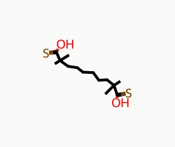 CC(C)(CCCCCCC(C)(C)C(O)=S)C(O)=S